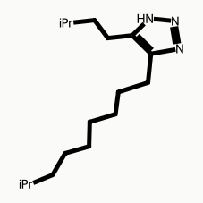 CC(C)CCCCCCCc1nn[nH]c1CCC(C)C